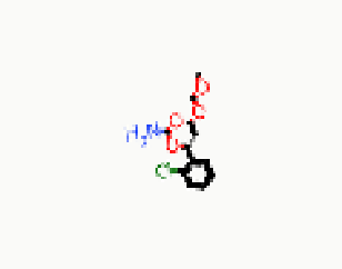 COCOCC[C@@H](OC(N)=O)c1ccccc1Cl